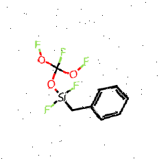 FOC(F)(OF)O[Si](F)(F)Cc1ccccc1